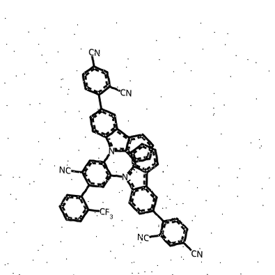 N#Cc1ccc(-c2ccc3c(c2)c2ccccc2n3-c2cc(C#N)c(-c3ccccc3C(F)(F)F)cc2-n2c3ccccc3c3cc(-c4ccc(C#N)cc4C#N)ccc32)c(C#N)c1